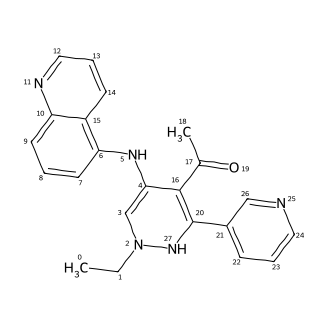 CCN1C=C(Nc2cccc3ncccc23)C(C(C)=O)=C(c2cccnc2)N1